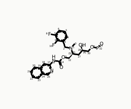 CN(Cc1cccc(F)c1F)[C@H](COC(=O)Nc1cc2ccccc2cn1)C[C@@H](O)COP=O